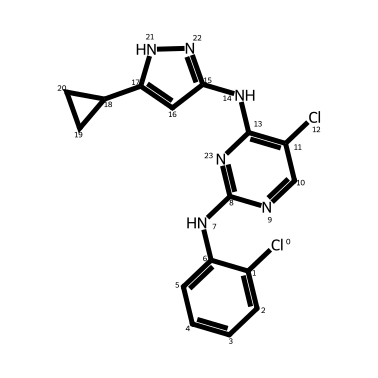 Clc1ccccc1Nc1ncc(Cl)c(Nc2cc(C3CC3)[nH]n2)n1